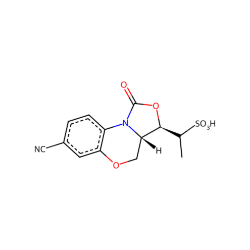 CC([C@@H]1OC(=O)N2c3ccc(C#N)cc3OC[C@@H]12)S(=O)(=O)O